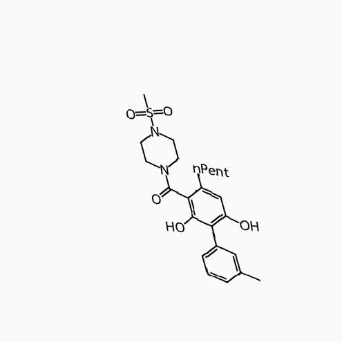 CCCCCc1cc(O)c(-c2cccc(C)c2)c(O)c1C(=O)N1CCN(S(C)(=O)=O)CC1